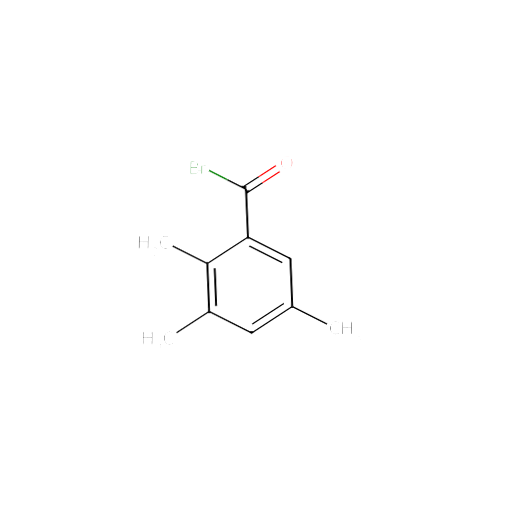 Cc1cc(C)c(C)c(C(=O)Br)c1